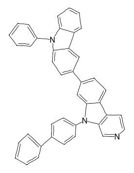 c1ccc(-c2ccc(-n3c4cnccc4c4ccc(-c5ccc6c(c5)c5ccccc5n6-c5ccccc5)cc43)cc2)cc1